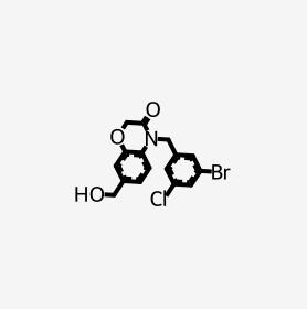 O=C1COc2cc(CO)ccc2N1Cc1cc(Cl)cc(Br)c1